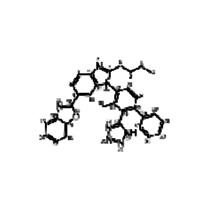 CCCCc1nc2ccc(-c3nc4ccccc4o3)cc2n1-c1ccc(-c2ccccc2)c(-c2nnn[nH]2)c1C